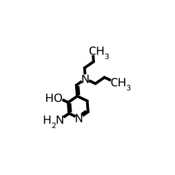 CCCN(C=C1CC=NC(N)=C1O)CCC